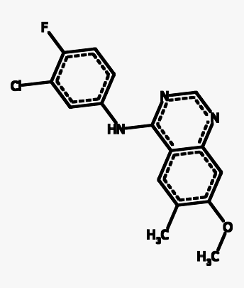 COc1cc2ncnc(Nc3ccc(F)c(Cl)c3)c2cc1C